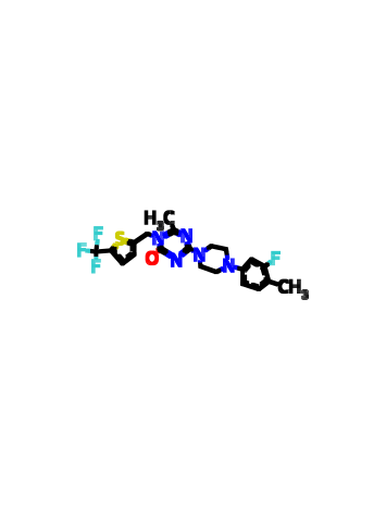 Cc1ccc(N2CCN(c3nc(C)n(Cc4ccc(C(F)(F)F)s4)c(=O)n3)CC2)cc1F